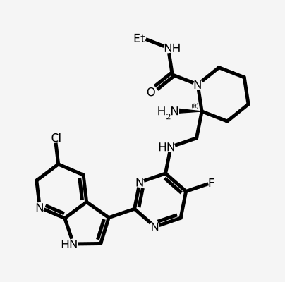 CCNC(=O)N1CCCC[C@]1(N)CNc1nc(-c2c[nH]c3c2=CC(Cl)CN=3)ncc1F